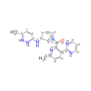 Cc1ccc(NC2CC3CC2N(C(=O)c2nc(C)ccc2-c2ncccn2)C3)nn1